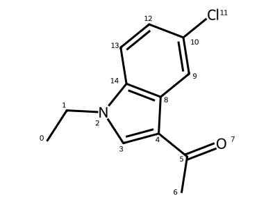 CCn1cc(C(C)=O)c2cc(Cl)ccc21